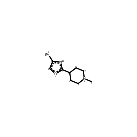 CC(C)c1coc(C2CCN(C)CC2)n1